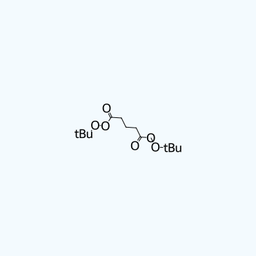 CC(C)(C)OOC(=O)CCCC(=O)OOC(C)(C)C